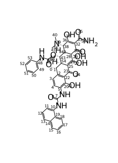 C[C@H]1c2ccc(NC(=O)Nc3cccc4ccccc34)c(O)c2C(=O)C2=C(O)[C@]3(O)C(=O)C(C(N)=O)=C(O)[C@@H](N(C)C)[C@@H]3[C@@H](OC(=O)Nc3ccccc3)[C@@H]21